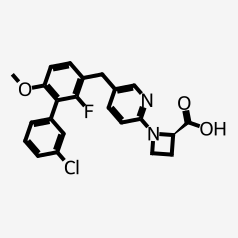 COc1ccc(Cc2ccc(N3CC[C@@H]3C(=O)O)nc2)c(F)c1-c1cccc(Cl)c1